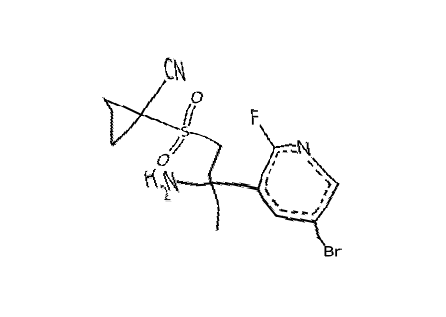 CC(N)(CS(=O)(=O)C1(C#N)CC1)c1cc(Br)cnc1F